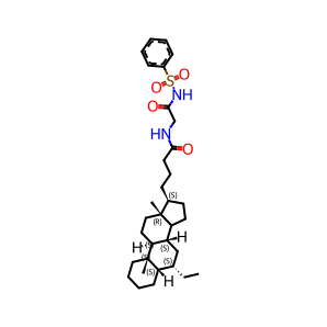 CC[C@H]1C[C@H]2C3CC[C@H](CCCC(=O)NCC(=O)NS(=O)(=O)c4ccccc4)[C@@]3(C)CC[C@@H]2[C@@]2(C)CCCC[C@@H]12